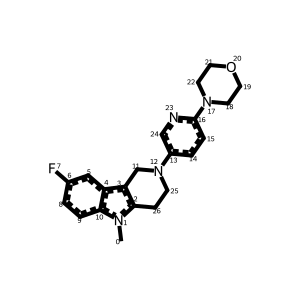 Cn1c2c(c3cc(F)ccc31)CN(c1ccc(N3CCOCC3)nc1)CC2